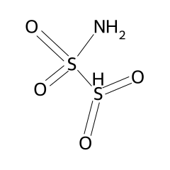 NS(=O)(=O)[SH](=O)=O